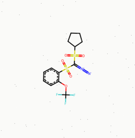 [N-]=[N+]=C(S(=O)(=O)c1ccccc1OC(F)(F)F)S(=O)(=O)C1CCCC1